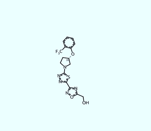 OCc1nc(-c2nnc(N3CC[C@H](Oc4ccccc4C(F)(F)F)C3)s2)no1